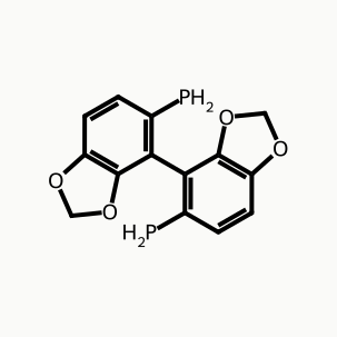 Pc1ccc2c(c1-c1c(P)ccc3c1OCO3)OCO2